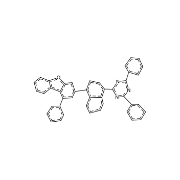 c1ccc(-c2nc(-c3ccccc3)nc(-c3ccc(-c4cc(-c5ccccc5)c5c(c4)oc4ccccc45)c4ccccc34)n2)cc1